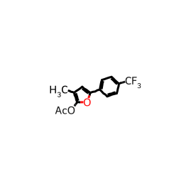 CC(=O)Oc1oc(-c2ccc(C(F)(F)F)cc2)cc1C